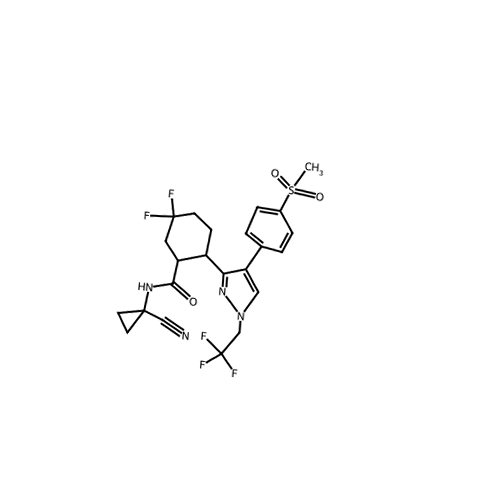 CS(=O)(=O)c1ccc(-c2cn(CC(F)(F)F)nc2C2CCC(F)(F)CC2C(=O)NC2(C#N)CC2)cc1